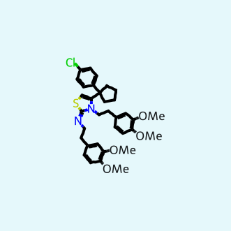 COc1ccc(CC/N=c2/scc(C3(c4ccc(Cl)cc4)CCCC3)n2CCc2ccc(OC)c(OC)c2)cc1OC